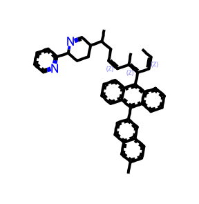 C\C=C/C(=C(C)/C=C\CC(C)C1C=NC(c2ccccn2)CC1)c1c2ccccc2c(-c2ccc3cc(C)ccc3c2)c2ccccc12